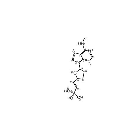 CNc1ncnc2c1ncn2[C@H]1CC[C@@H](/C=C/P(=O)(O)O)O1